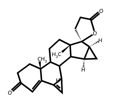 C[C@]12CCC(=O)C=C1C1=C[C@@H]1C1C2CC[C@@]2(C)C1[C@@H]1C[C@@H]1[C@@]21CCC(=O)O1